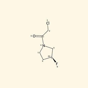 O=C(CCl)N1CC[C@H](F)C1